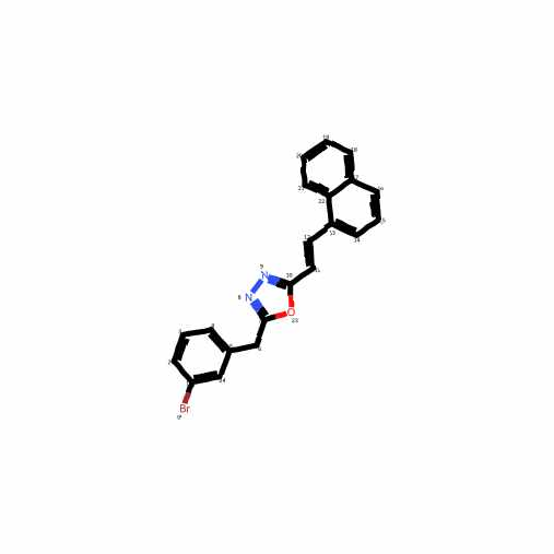 Brc1cccc(Cc2nnc(/C=C/c3cccc4ccccc34)o2)c1